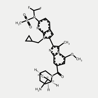 COc1cc(C(=O)N2C[C@@H]3CC[C@H]2[C@@H](N)C3)cc2nc(-c3cc4ccc(N(C(F)F)S(C)(=O)=O)nc4n3CC3CC3)c(C)n12